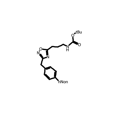 CCCCCCCCCc1ccc(Cc2noc(CCCNC(=O)OC(C)(C)C)n2)cc1